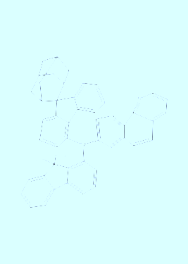 CC1(C)c2ccccc2-c2cccc(N(c3cnc4c(ccc5cccnc54)c3)c3cccc4c3-c3ccccc3C43C4CC5CC(C4)CC3C5)c21